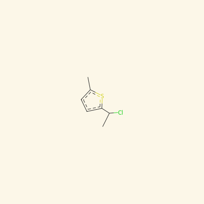 Cc1ccc(C(C)Cl)s1